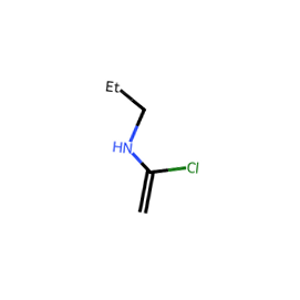 C=C(Cl)NCCC